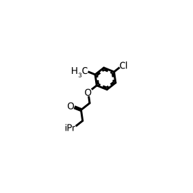 Cc1cc(Cl)ccc1OCC(=O)CC(C)C